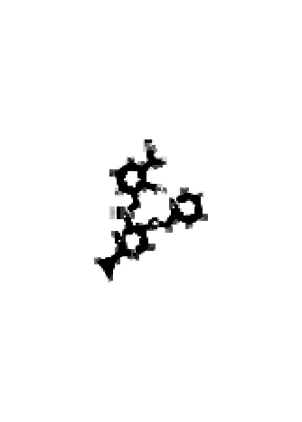 Fc1c(CNc2nc(C3CC3)ncc2OCc2ccccn2)cccc1C(F)F